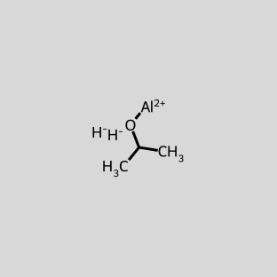 CC(C)[O][Al+2].[H-].[H-]